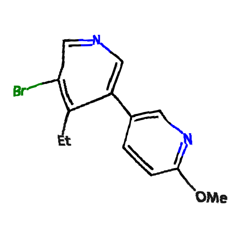 CCc1c(Br)cncc1-c1ccc(OC)nc1